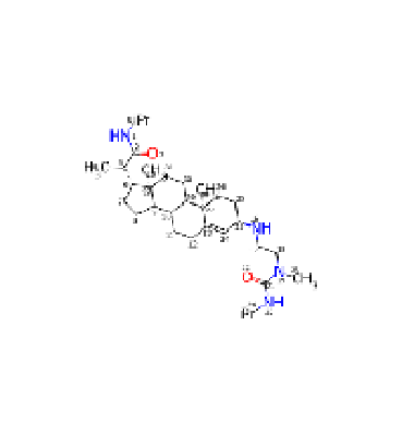 CC(C)NC(=O)C(C)[C@H]1CCC2C3CCC4=C[C@H](NCCN(C)C(=O)NC(C)C)CC[C@]4(C)C3CC[C@@]21C